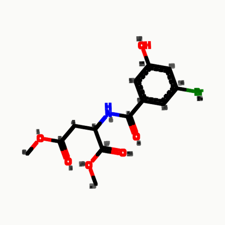 COC(=O)CC(NC(=O)c1cc(O)cc(Br)c1)C(=O)OC